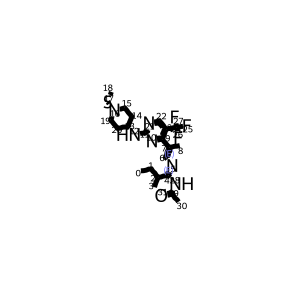 CCC(C)/C(=N\C=C(/C)c1nc(NC2CCN(SC)CC2)ncc1C(F)(F)F)NC(C)=O